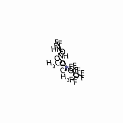 CC/C(=N\OC(c1cc(C(F)F)cc(C(F)F)c1F)C(F)(F)F)c1ccc(C(=O)NCC(=O)NCC(F)(F)F)c(C)c1